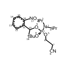 CC(C)N(C(C)C)P(=O)(OCCC#N)OC(c1ccccc1[N+](=O)[O-])C(C)(C)C